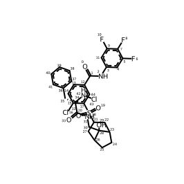 O=C(Nc1cc(F)c(F)c(F)c1)c1ccc(Cl)c(S(=O)(=O)C2CC3CCC(C2)C3(O)CNC(=O)[C@H](Cc2ccccc2)NCl)c1